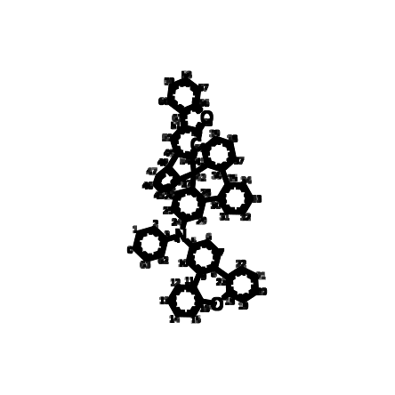 c1ccc(N(c2ccc3c(c2)-c2ccccc2Oc2ccccc2-3)c2ccc3c(c2)-c2ccccc2-c2ccccc2C32c3ccccc3-c3cc4c(cc32)oc2ccccc24)cc1